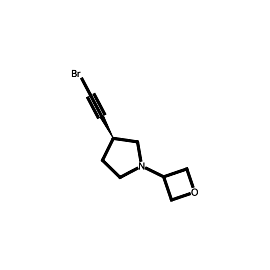 BrC#C[C@@H]1CCN(C2COC2)C1